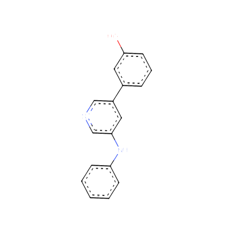 Oc1cccc(-c2cncc(Nc3ccccc3)c2)c1